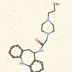 CC(=O)OCCN1CCN(CC(=O)NC2Cc3ccccc3Nc3ccccc32)CC1